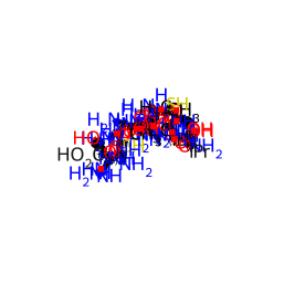 CC[C@H](C)[C@H](NC(=O)[C@@H]1C[C@@H](O)CN1C(=O)[C@@H](N)C(C)C)C(=O)N[C@H](C(=O)N[C@@H](Cc1ccc(O)cc1)C(=O)N[C@H](C(=O)N[C@@H](CC(N)=O)C(=O)N[C@@H](CCCNC(=N)N)C(=O)N[C@@H](CCN)C(=O)N[C@H](C(=O)N[C@H](CCN)C(=O)N[C@@H](CCN)C(=O)N[C@@H](CS)C(=O)N[C@@H](CCN)C(=O)N[C@@H](CCCNC(=N)N)C(=O)N[C@@H](Cc1ccc(O)cc1)C(=O)O)[C@@H](C)O)C(C)(C)S)[C@@H](C)O